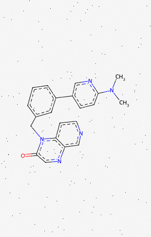 CN(C)c1ccc(-c2cccc(Cn3c(=O)cnc4cnccc43)c2)cn1